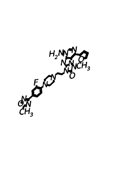 Cc1nc(-c2ccc(N3CCN(CCN4C(=O)N(C)N5C6=C(c7ccco7)N=CN(N)C6=NC45)CC3)c(F)c2)no1